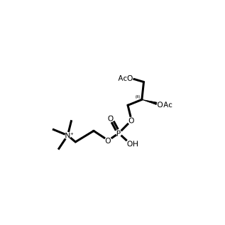 CC(=O)OC[C@H](COP(=O)(O)OCC[N+](C)(C)C)OC(C)=O